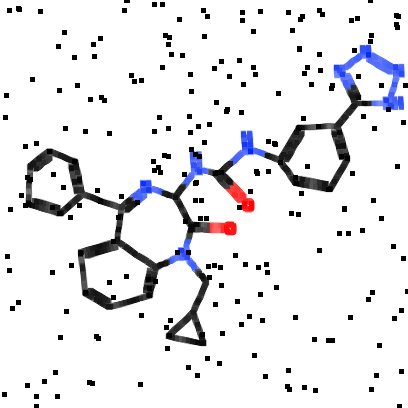 O=C(Nc1cccc(-c2nnn[nH]2)c1)NC1N=C(c2ccccc2)c2ccccc2N(CC2CC2)C1=O